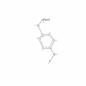 CCCCCOc1ccc(OF)cc1